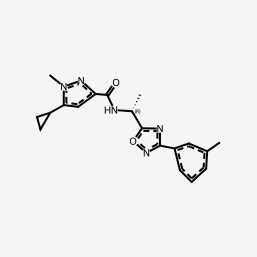 Cc1cccc(-c2noc([C@@H](C)NC(=O)c3cc(C4CC4)n(C)n3)n2)c1